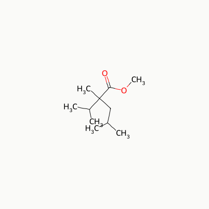 COC(=O)C(C)(CC(C)C)C(C)C